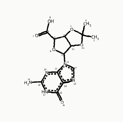 CC1(C)OC2C(C(=O)O)OC(n3cnc4c(=O)[nH]c(N)nc43)C2O1